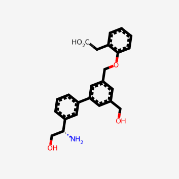 N[C@H](CO)c1cccc(-c2cc(CO)cc(COc3ccccc3CC(=O)O)c2)c1